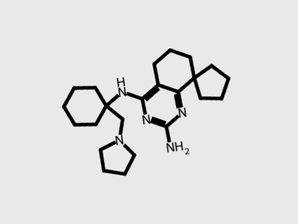 Nc1nc(NC2(CN3CCCC3)CCCCC2)c2c(n1)C1(CCCC1)CCC2